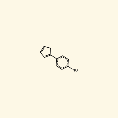 O=Nc1ccc(C2=CC=CC2)cc1